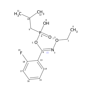 CCO/N=C(\OP(=O)(O)CC(C)C)c1ccccc1F